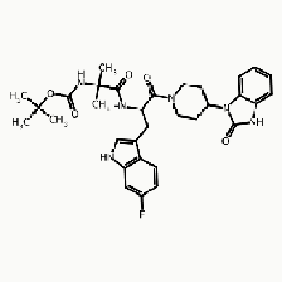 CC(C)(C)OC(=O)NC(C)(C)C(=O)NC(Cc1c[nH]c2cc(F)ccc12)C(=O)N1CCC(n2c(=O)[nH]c3ccccc32)CC1